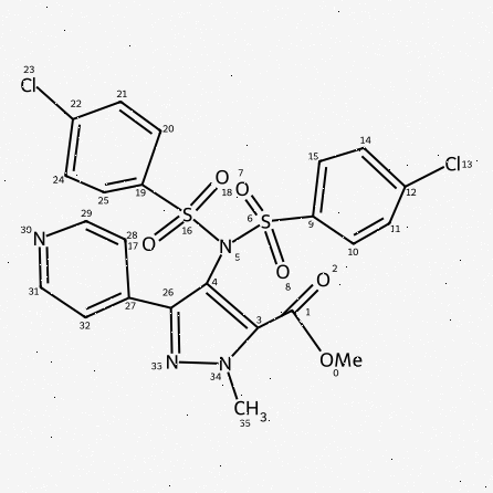 COC(=O)c1c(N(S(=O)(=O)c2ccc(Cl)cc2)S(=O)(=O)c2ccc(Cl)cc2)c(-c2ccncc2)nn1C